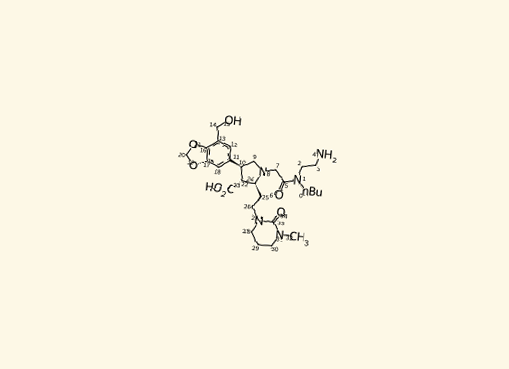 CCCCN(CCN)C(=O)CN1C[C@H](c2cc(CO)c3c(c2)OCO3)[C@@H](C(=O)O)[C@@H]1CCN1CCCN(C)C1=O